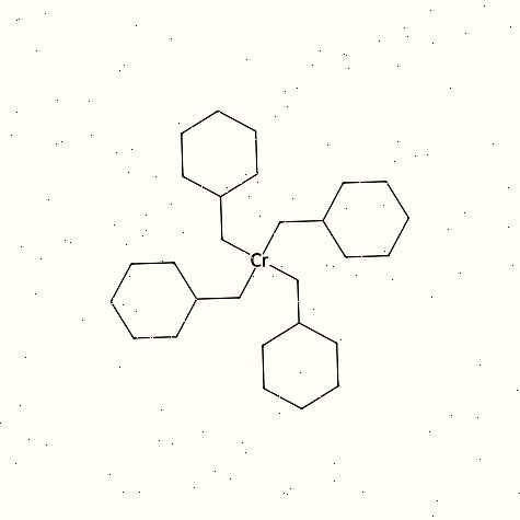 C1CCC([CH2][Cr]([CH2]C2CCCCC2)([CH2]C2CCCCC2)[CH2]C2CCCCC2)CC1